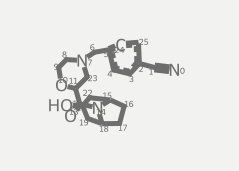 N#Cc1ccc(CN2CCOC(C(=O)N3C4CCC3CC(O)C4)C2)cc1